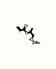 C=CC(=O)OC(C)COCCCC